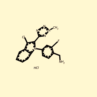 Cl.Cn1nnc(-c2c(Cl)c3ccccc3n2-c2ccc(CN)c(F)c2)n1